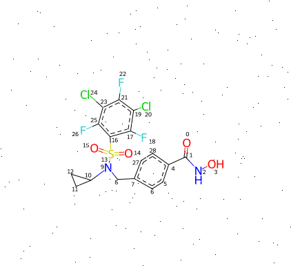 O=C(NO)c1ccc(CN(C2CC2)S(=O)(=O)c2c(F)c(Cl)c(F)c(Cl)c2F)cc1